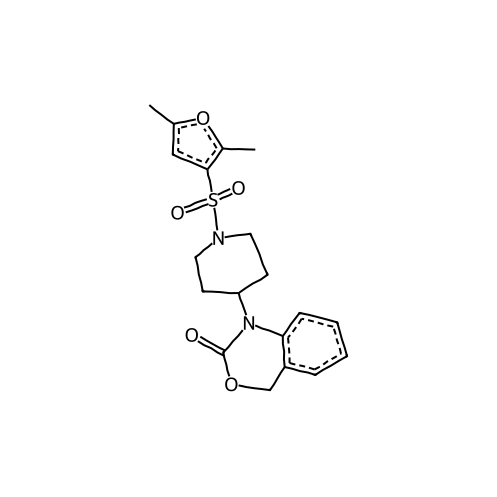 Cc1cc(S(=O)(=O)N2CCC(N3C(=O)OCc4ccccc43)CC2)c(C)o1